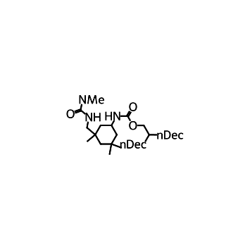 CCCCCCCCCCC(CCCCCCCCCC)COC(=O)NC1CC(C)(C)CC(C)(CNC(=O)NC)C1